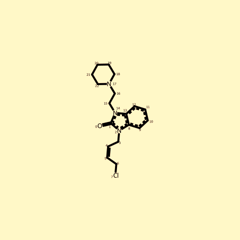 O=c1n(C/C=C\CCl)c2ccccc2n1CCN1CCCCC1